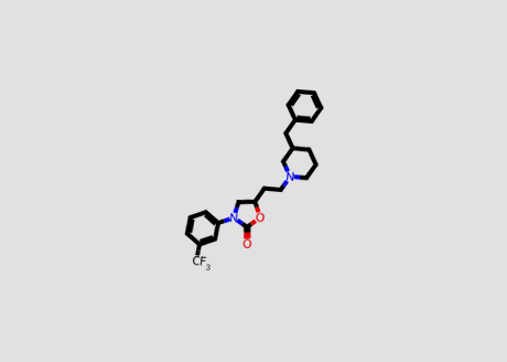 O=C1OC(CCN2CCCC(Cc3ccccc3)C2)CN1c1cccc(C(F)(F)F)c1